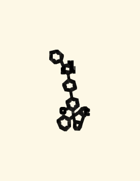 c1ccc(-c2nnc(-c3ccc(-c4ccc5c(c4)Oc4ccccc4C54c5ccccc5-c5ccccc54)cc3)s2)cc1